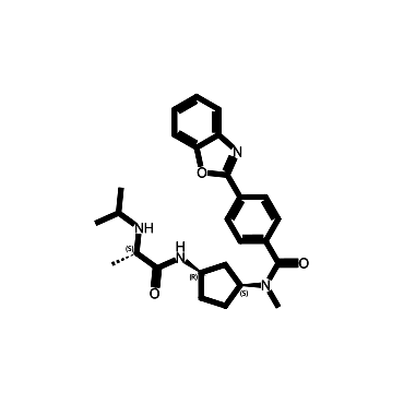 CC(C)N[C@@H](C)C(=O)N[C@@H]1CC[C@H](N(C)C(=O)c2ccc(-c3nc4ccccc4o3)cc2)C1